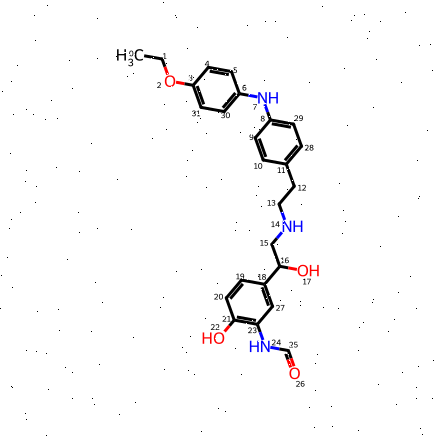 CCOc1ccc(Nc2ccc(CCNCC(O)c3ccc(O)c(NC=O)c3)cc2)cc1